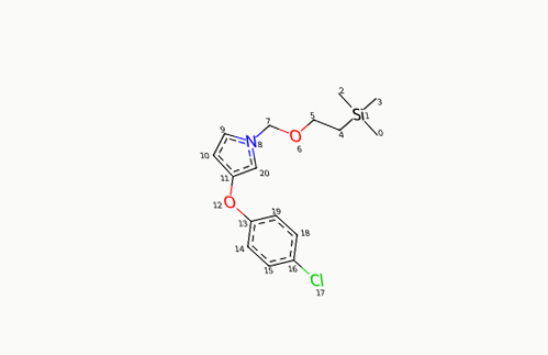 C[Si](C)(C)CCOCn1ccc(Oc2ccc(Cl)cc2)c1